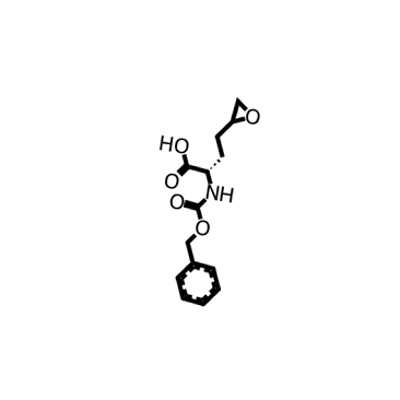 O=C(N[C@@H](CCC1CO1)C(=O)O)OCc1ccccc1